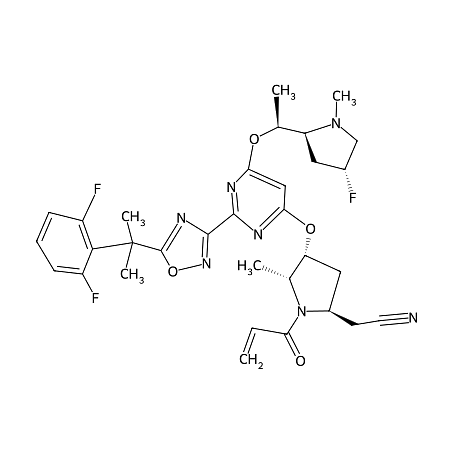 C=CC(=O)N1[C@H](CC#N)C[C@@H](Oc2cc(O[C@@H](C)[C@@H]3C[C@@H](F)CN3C)nc(-c3noc(C(C)(C)c4c(F)cccc4F)n3)n2)[C@H]1C